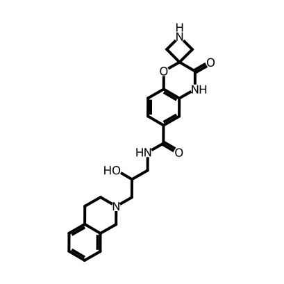 O=C(NCC(O)CN1CCc2ccccc2C1)c1ccc2c(c1)NC(=O)C1(CNC1)O2